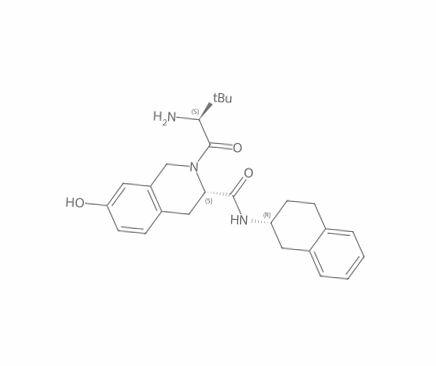 CC(C)(C)[C@H](N)C(=O)N1Cc2cc(O)ccc2C[C@H]1C(=O)N[C@@H]1CCc2ccccc2C1